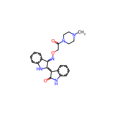 CN1CCN(C(=O)CO/N=C2/C(=C3/C(=O)Nc4ccccc43)Nc3ccccc32)CC1